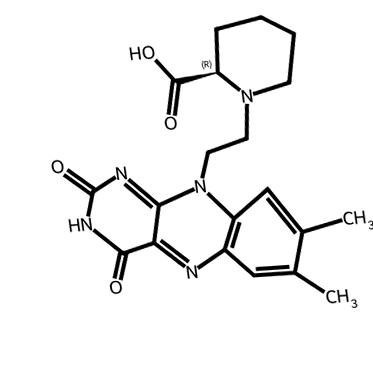 Cc1cc2nc3c(=O)[nH]c(=O)nc-3n(CCN3CCCC[C@@H]3C(=O)O)c2cc1C